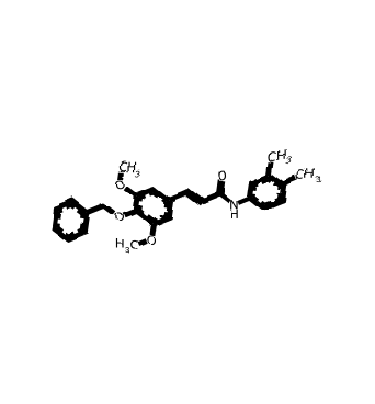 COc1cc(C=CC(=O)Nc2ccc(C)c(C)c2)cc(OC)c1OCc1ccccc1